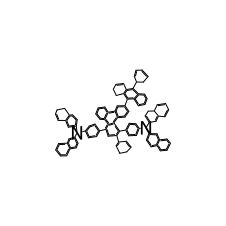 C1=CCC(c2c3c(c(-c4ccc5c(c4)c4ccccc4c4c(-c6ccc(N(c7ccc8c(c7)C=CCC8)c7ccc8ccccc8c7)cc6)cc(C6=CCCC=C6)c(-c6ccc(N(C7=CCC8C=CC=CC8=C7)c7ccc8ccccc8c7)cc6)c54)c4ccccc24)CCC=C3)C=C1